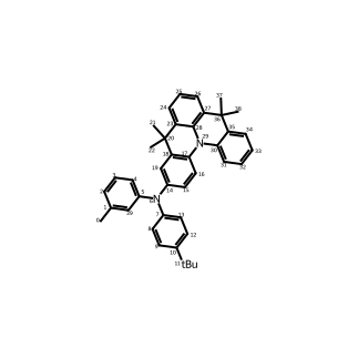 Cc1cccc(N(c2ccc(C(C)(C)C)cc2)c2ccc3c(c2)C(C)(C)c2cccc4c2N3c2ccccc2C4(C)C)c1